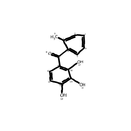 Cc1ccccc1C(=O)c1ccc(O)c(O)c1O